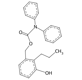 CCCc1c(O)cccc1COC(=O)N(c1ccccc1)c1ccccc1